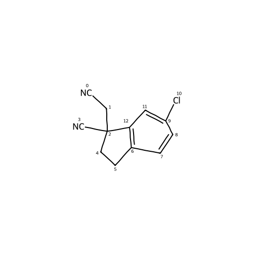 N#CCC1(C#N)CCc2ccc(Cl)cc21